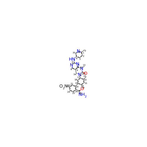 Cc1ccc(Nc2ncc3c(n2)N(C)C(=O)N(c2cc(-c4cc([N+](=O)[O-])ccc4C(N)=O)ccc2C)C3)cn1